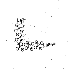 O=P([O-])([O-])[O-].O=P([O-])([O-])[O-].O=P([O-])([O-])[O-].O=P([O-])([O-])[O-].O=P([O-])([O-])[O-].[La+3].[La+3].[La+3].[La+3].[La+3]